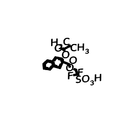 C=C(C)C(=O)Oc1cc2ccccc2cc1C(=O)OCC(F)(F)S(=O)(=O)O